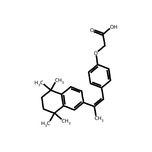 C/C(=C/c1ccc(OCC(=O)O)cc1)c1ccc2c(c1)C(C)(C)CCC2(C)C